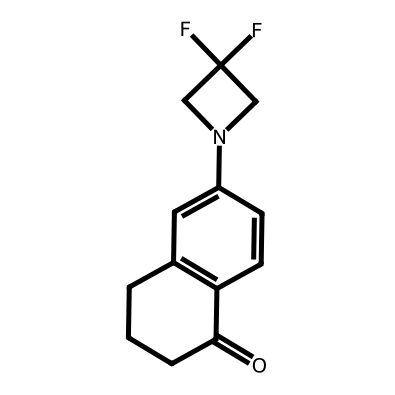 O=C1CCCc2cc(N3CC(F)(F)C3)ccc21